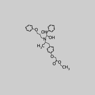 CCOC(=O)COc1ccc(C[C@@H](C)N(C[C@@H](O)COc2ccccc2)[C@H](O)Cc2ccccc2)cc1